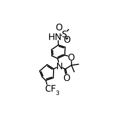 CC1(C)Oc2cc(NS(C)(=O)=O)ccc2N(c2cccc(C(F)(F)F)c2)C1=O